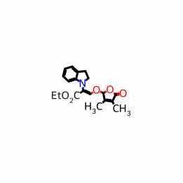 CCOC(=O)/C(=C/OC1OC(=O)C(C)=C1C)N1CCc2ccccc21